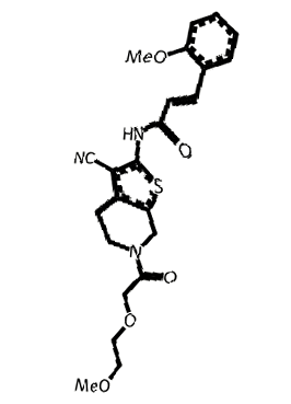 COCCOCC(=O)N1CCc2c(sc(NC(=O)C=Cc3ccccc3OC)c2C#N)C1